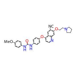 [C-]#[N+]c1cc2c(Oc3ccc(NC(=O)Nc4ccc(OC)cc4)cc3)ccnc2cc1OCCN1CCCC1